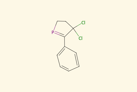 ClC1(Cl)CCP=C1c1ccccc1